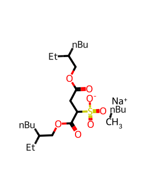 CCCCC.CCCCC(CC)COC(=O)CC(C(=O)OCC(CC)CCCC)S(=O)(=O)[O-].[Na+]